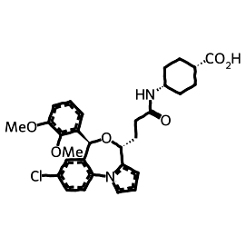 COc1cccc([C@H]2O[C@H](CCC(=O)N[C@H]3CC[C@@H](C(=O)O)CC3)c3cccn3-c3ccc(Cl)cc32)c1OC